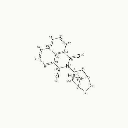 CN1C2CCC1CC(N1C(=O)c3cccc4cccc(c34)C1=O)C2